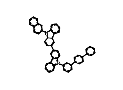 C1=CC2C(C=C1c1ccc3c(c1)c1ccccc1n3-c1cccc(-c3ccc(-c4ccccc4)cc3)c1)c1ccccc1N2c1ccc2ccccc2c1